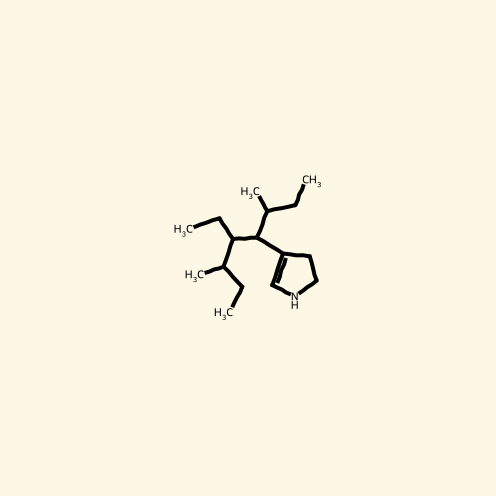 CCC(C)C(CC)C(C1=CNCC1)C(C)CC